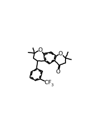 CC1(C)CC(=O)c2cc3c(cc2O1)OC(C)(C)CC3c1cccc(C(F)(F)F)c1